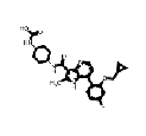 Cc1[nH]c2c(-c3ccc(F)cc3OCC3CC3)ccnc2c1C(=O)N[C@H]1CC[C@@H](NC(=O)O)CC1